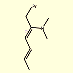 CC=C/C=C(/CC(C)C)N(C)C